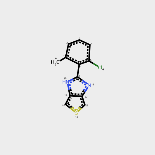 Cc1cccc(Cl)c1-c1nc2cscc2[nH]1